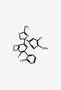 COc1ccc([C@@]2(c3ccc(F)c(-c4cccnc4Cl)c3)COC(N)=N2)cc1Cl.O=CO